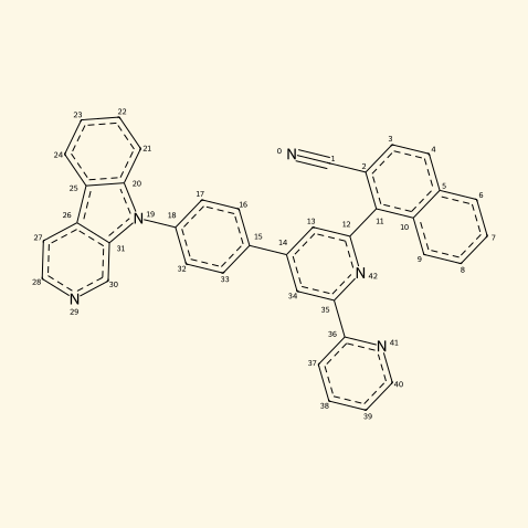 N#Cc1ccc2ccccc2c1-c1cc(-c2ccc(-n3c4ccccc4c4ccncc43)cc2)cc(-c2ccccn2)n1